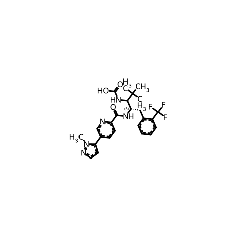 Cn1nccc1-c1ccc(C(=O)N[C@@H](Cc2ccccc2C(F)(F)F)C(NC(=O)O)C(C)(C)C)nc1